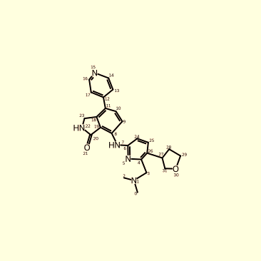 CN(C)Cc1nc(Nc2ccc(-c3ccncc3)c3c2C(=O)NC3)ccc1C1CCOC1